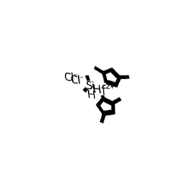 CC1=CC(C)[C]([Hf+2]([C]2=C(C)C=C(C)C2)[SiH](C)C)=C1.[Cl-].[Cl-]